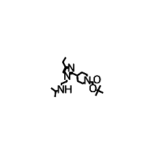 CCc1cn(CCNC(C)C)c(C2CCN(C(=O)OC(C)(C)C)CC2)n1